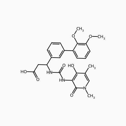 COc1cccc(-c2cccc(C(CC(=O)O)NC(=O)Nc3c(O)c(C)cn(C)c3=O)c2)c1OC